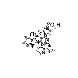 CC(C)Cc1ncccc1-n1c(=O)nc(N2CCN(C(=O)O)C[C@@H]2C)c2cc(Cl)c(-c3ccccc3F)nc21